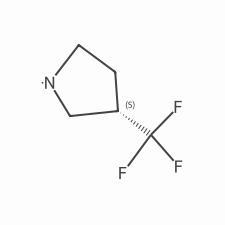 FC(F)(F)[C@H]1CC[N]C1